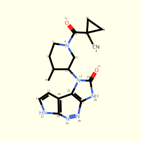 CC1CCN(C(=O)C2(C#N)CC2)CC1n1c(=O)[nH]c2nnc3[nH]ccc3c21